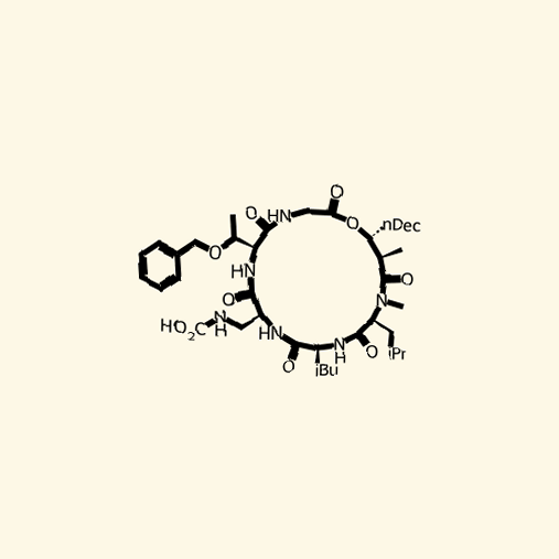 CCCCCCCCCC[C@H]1OC(=O)CNC(=O)[C@H](C(C)OCc2ccccc2)NC(=O)[C@H](CNC(=O)O)NC(=O)[C@H](C(C)CC)NC(=O)[C@H](CC(C)C)N(C)C(=O)[C@@H]1C